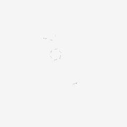 CC(C)(C)OC(=O)C[C@H]1CC[C@H](c2ccc(OS(=O)(=O)C(F)(F)F)cc2)CC1